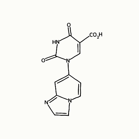 O=C(O)c1cn(-c2ccn3ccnc3c2)c(=O)[nH]c1=O